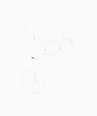 Cc1c(F)ccc2cc([C@H](C)Nc3ncnc4[nH]cnc34)c(SCCO)nc12